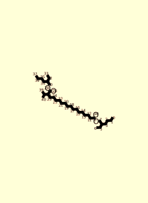 CCCCC(CC)COC(=O)CCCCCCCCCCCCCCCC(C(=O)OCC(CC)CCCC)C(C)C